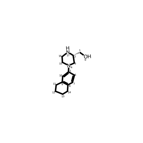 OC[C@@H]1CN(c2ccc3c(c2)CCCC3)CCN1